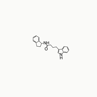 O=C(CCCc1c[nH]c2ccccc12)NC1CCc2ccccc21